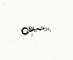 COCCOCC[N+]1(C)CCCCCC1.[I-]